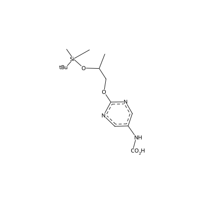 CC(COc1ncc(NC(=O)O)cn1)O[Si](C)(C)C(C)(C)C